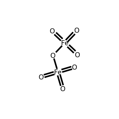 [O]=[Fe](=[O])(=[O])[O][Fe](=[O])(=[O])=[O]